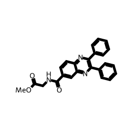 COC(=O)CNC(=O)c1ccc2nc(-c3ccccc3)c(-c3ccccc3)nc2c1